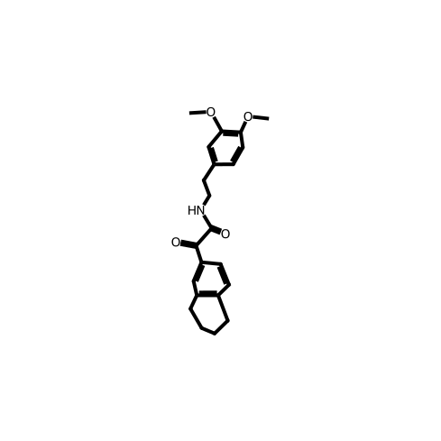 COc1ccc(CCNC(=O)C(=O)c2ccc3c(c2)CCCC3)cc1OC